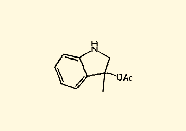 CC(=O)OC1(C)CNc2ccccc21